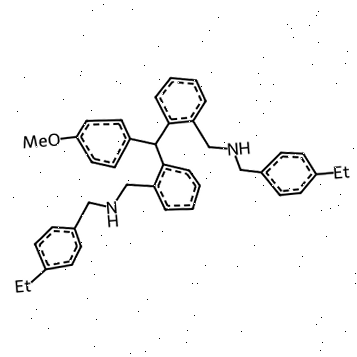 CCc1ccc(CNCc2ccccc2C(c2ccc(OC)cc2)c2ccccc2CNCc2ccc(CC)cc2)cc1